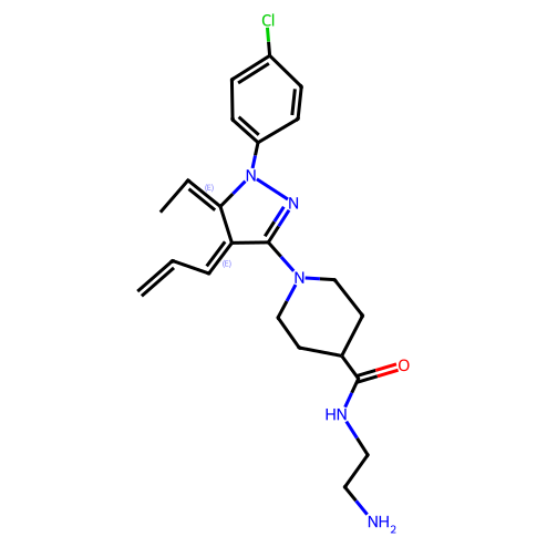 C=C/C=c1/c(N2CCC(C(=O)NCCN)CC2)nn(-c2ccc(Cl)cc2)/c1=C/C